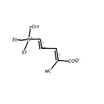 CCCCCCCC[N+](/C=C/C=C(\C#N)C(=O)[O-])(CC)CC